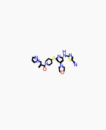 C=C(Cn1cccn1)C(=O)N1CCC(Sc2cc(N3CCOCC3)cc(Nc3ncc(C#N)s3)n2)CC1